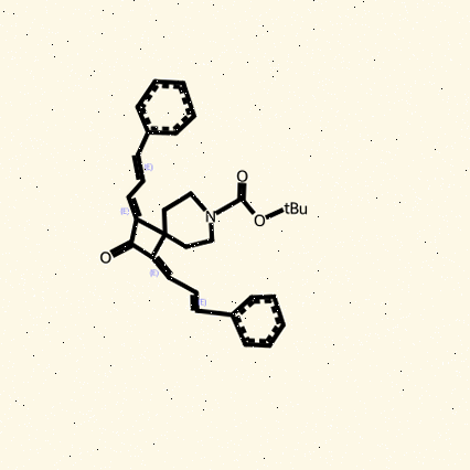 CC(C)(C)OC(=O)N1CCC2(CC1)/C(=C\C=C\c1ccccc1)C(=O)/C2=C/C=C/c1ccccc1